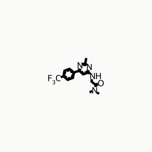 Cc1nc(NCC(=O)N(C)C)cc(-c2ccc(C(F)(F)F)cc2)n1